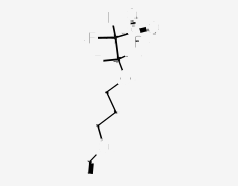 C=COCCCOC(F)(F)C(F)(F)S(=O)(=O)F